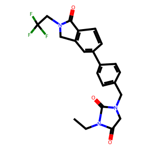 CCN1C(=O)CN(Cc2ccc(-c3ccc4c(c3)CN(CC(F)(F)F)C4=O)cc2)C1=O